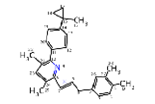 Cc1ccc(C/C=C/c2nc(-c3ccc(C4(C)CC4)cc3)c(C)cc2C)cc1C